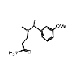 COc1cccc(C(C)N(C)CCC(N)=O)c1